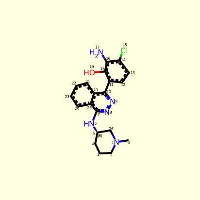 CN1CCC[C@@H](Nc2nnc(-c3ccc(Cl)c(N)c3O)c3ccccc23)C1